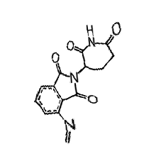 C=Nc1cccc2c1C(=O)N(C1CCC(=O)NC1=O)C2=O